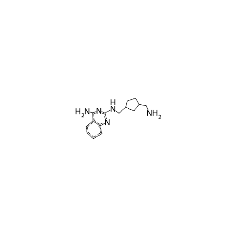 NCC1CCC(CNc2nc(N)c3ccccc3n2)C1